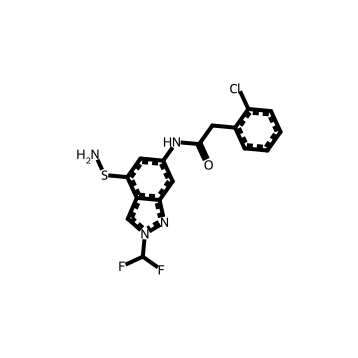 NSc1cc(NC(=O)Cc2ccccc2Cl)cc2nn(C(F)F)cc12